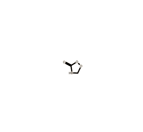 O=C1BCOO1